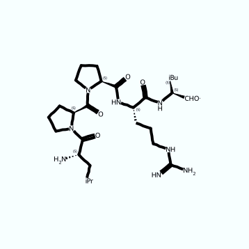 CC[C@H](C)[C@@H]([C]=O)NC(=O)[C@H](CCCNC(=N)N)NC(=O)[C@@H]1CCCN1C(=O)[C@@H]1CCCN1C(=O)[C@@H](N)CC(C)C